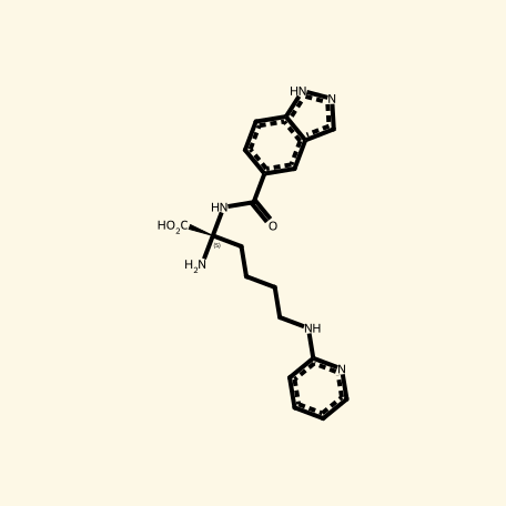 N[C@@](CCCCNc1ccccn1)(NC(=O)c1ccc2[nH]ncc2c1)C(=O)O